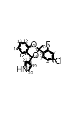 CC1(c2ccc(Cl)cc2F)Oc2ccccc2C(c2cc[nH]c2)O1